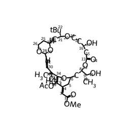 COC(=O)/C=C1\CC2C[C@H]([C@@H](C)O)OC(=O)C[C@H](O)CCO[C@H](C(C)(C)C)C[C@@H]3CCO[C@H](/C=C/C(C)(C)[C@](O)(O2)[C@H]1OC(C)=O)O3